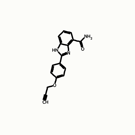 C#CCOc1ccc(-c2nc3c(C(N)=O)cccc3[nH]2)cc1